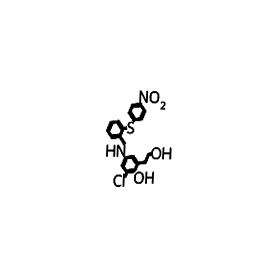 O=[N+]([O-])c1ccc(Sc2ccccc2CNc2cc(Cl)c(O)c(CCO)c2)cc1